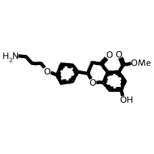 COC(=O)c1cc(O)cc2c1C(=O)CC(c1ccc(OCCCN)cc1)O2